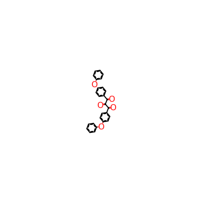 O=C(C(=O)c1ccc(Oc2ccccc2)cc1)C(=O)c1ccc(Oc2ccccc2)cc1